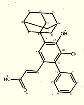 O=C(O)C=Cc1cc(C23CC4CC(CC(C4)C2)C3)c(O)c(Cl)c1-c1ccccc1